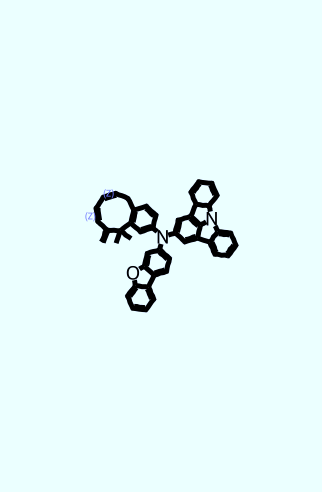 C=C1/C=C\C=C/Cc2ccc(N(c3ccc4c(c3)oc3ccccc34)c3cc4c5c(c3)c3ccccc3n5C3C=CC=CC43)cc2C1(C)C